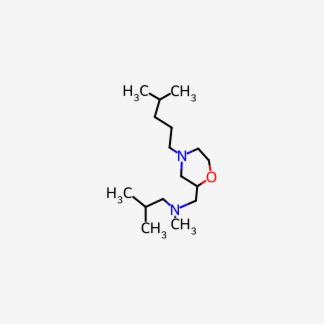 CC(C)CCCN1CCOC(CN(C)CC(C)C)C1